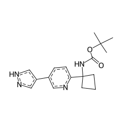 CC(C)(C)OC(=O)NC1(c2ccc(-c3cn[nH]c3)cn2)CCC1